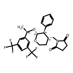 C[C@@H](O[C@H]1OCC[C@@H](CN2C(=O)CCC2=O)[C@@H]1c1ccccc1)c1cc(C(F)(F)F)cc(C(F)(F)F)c1